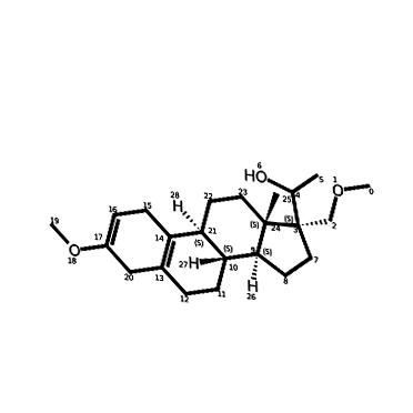 COC[C@]1(C(C)O)CC[C@H]2[C@@H]3CCC4=C(CC=C(OC)C4)[C@H]3CC[C@@]21C